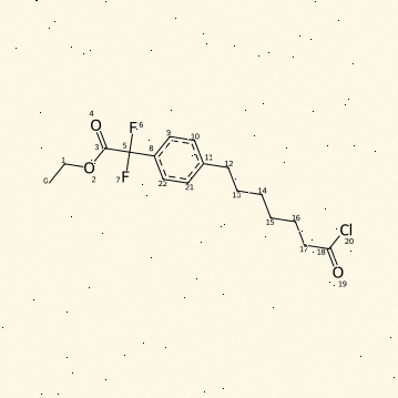 CCOC(=O)C(F)(F)c1ccc(CCCCCCC(=O)Cl)cc1